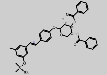 Cc1cc(/C=C/c2ccc(OC3OC[C@@H](OC(=O)c4ccccc4)[C@H](OC(=O)c4ccccc4)[C@H]3C)cc2)cc(O[Si](C)(C)C(C)(C)C)c1